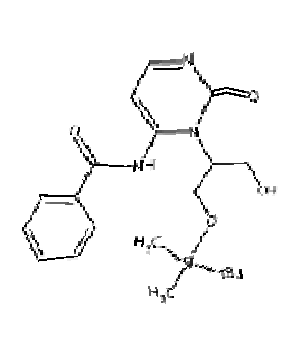 CC(C)(C)[Si](C)(C)OCC(CO)n1c(NC(=O)c2ccccc2)ccnc1=O